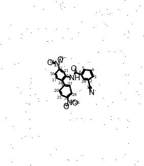 N#Cc1cccc(C(=O)Nc2cc([N+](=O)[O-])ccc2-c2ccc([N+](=O)[O-])cc2)c1